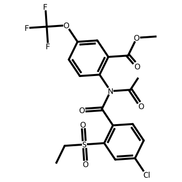 CCS(=O)(=O)c1cc(Cl)ccc1C(=O)N(C(C)=O)c1ccc(OC(F)(F)F)cc1C(=O)OC